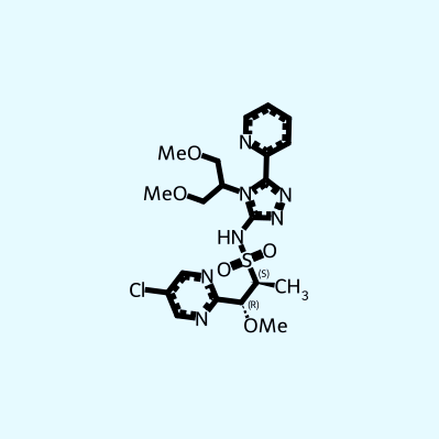 COCC(COC)n1c(NS(=O)(=O)[C@@H](C)[C@H](OC)c2ncc(Cl)cn2)nnc1-c1ccccn1